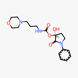 O=C(NCCCN1CCOCC1)O[C@@]1(O)CCN(c2ccccc2)C1=O